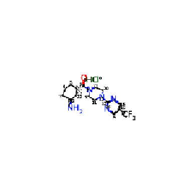 Cl.N[C@H]1CCC[C@H](C(=O)N2CCN(c3ncc(C(F)(F)F)cn3)CC2)C1